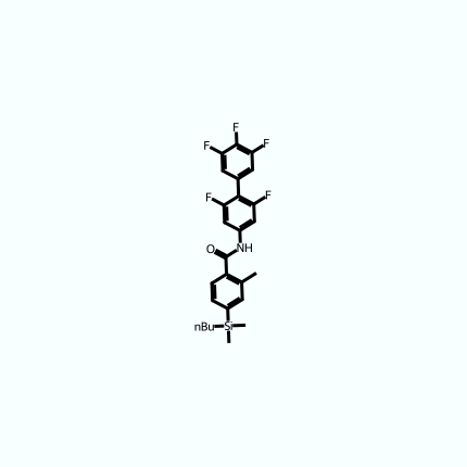 CCCC[Si](C)(C)c1ccc(C(=O)Nc2cc(F)c(-c3cc(F)c(F)c(F)c3)c(F)c2)c(C)c1